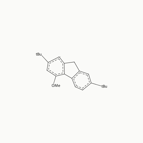 COc1cc(C(C)(C)C)[c]c2c1-c1ccc(C(C)(C)C)cc1C2